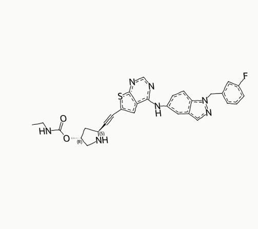 CCNC(=O)O[C@H]1CN[C@H](C#Cc2cc3c(Nc4ccc5c(cnn5Cc5cccc(F)c5)c4)ncnc3s2)C1